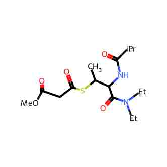 CCN(CC)C(=O)C(NC(=O)C(C)C)C(C)SC(=O)CC(=O)OC